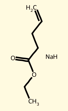 C=CCCC(=O)OCC.[NaH]